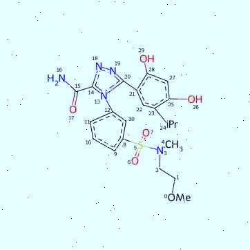 COCCN(C)S(=O)(=O)c1cccc(-n2c(C(N)=O)nnc2-c2cc(C(C)C)c(O)cc2O)c1